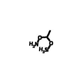 CC(ON)O[SiH3]